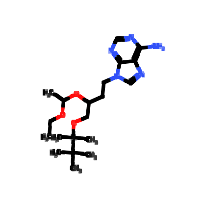 CCOC(C)OC(CCn1cnc2c(N)ncnc21)CO[Si](C)(C)C(C)(C)C